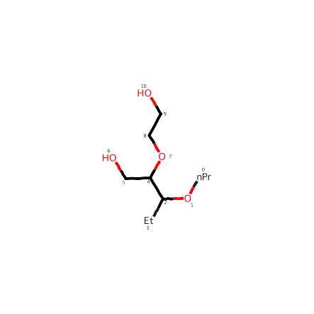 CCCOC(CC)C(CO)OCCO